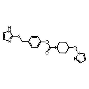 O=C(Oc1ccc(CSc2ncc[nH]2)cc1)N1CCC(On2cccn2)CC1